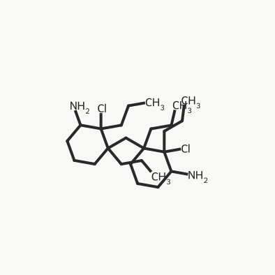 CCCC1(CC2(CCC)CCCC(N)C2(Cl)CCC)CCCC(N)C1(Cl)CCC